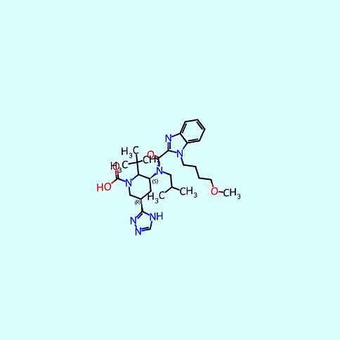 COCCCCn1c(C(=O)N(CC(C)C)[C@H]2C[C@@H](c3nnc[nH]3)CN(C(=O)O)C2C(C)(C)C)nc2ccccc21